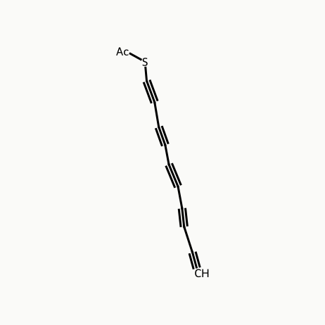 C#CC#CC#CC#CC#CSC(C)=O